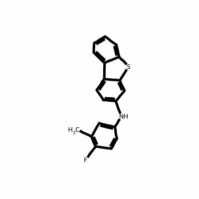 Cc1cc(Nc2ccc3c(c2)sc2ccccc23)ccc1F